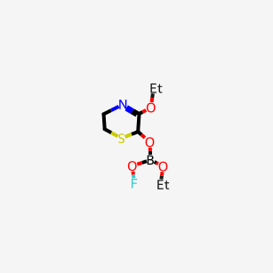 CCOB(OF)OC1SCCN=C1OCC